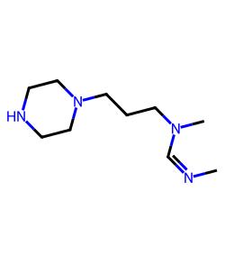 C/N=C\N(C)CCCN1CCNCC1